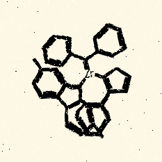 Cc1ccc2c(c1)[CH]([Zr]([C]1=C(c3ccccc3)C=CC1)=[C](c1ccccc1)c1ccccc1)c1cc(C)ccc1-2